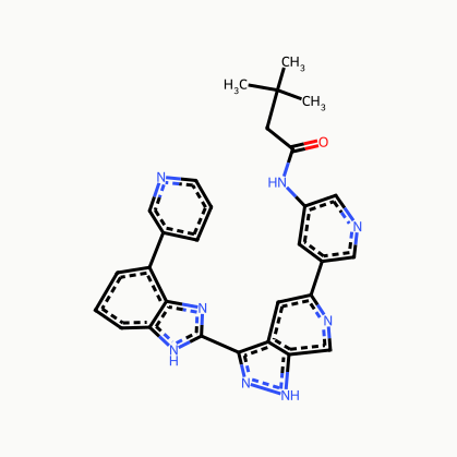 CC(C)(C)CC(=O)Nc1cncc(-c2cc3c(-c4nc5c(-c6cccnc6)cccc5[nH]4)n[nH]c3cn2)c1